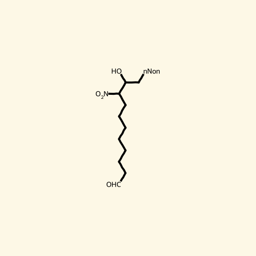 CCCCCCCCCCC(O)C(CCCCCCCC=O)[N+](=O)[O-]